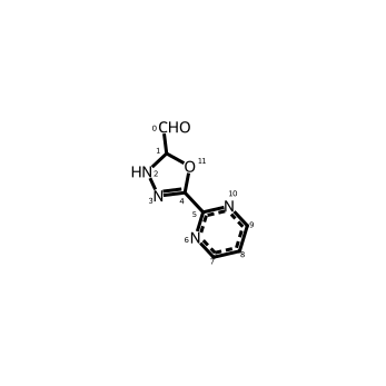 O=CC1NN=C(c2ncccn2)O1